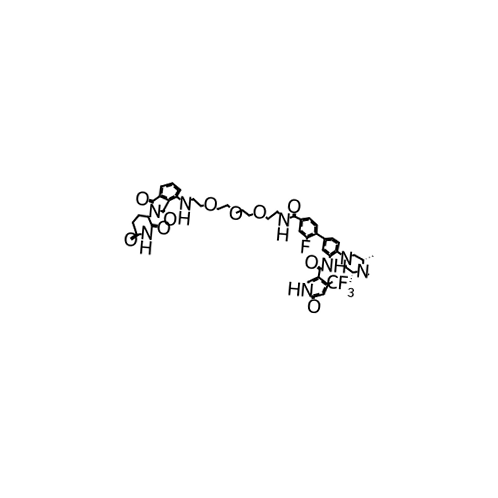 C[C@@H]1CN(c2ccc(-c3ccc(C(=O)NCCOCCOCCOCCNc4cccc5c4C(=O)N(C4CCC(=O)NC4=O)C5=O)cc3F)cc2NC(=O)c2c[nH]c(=O)cc2C(F)(F)F)C[C@H](C)N1C